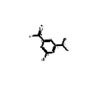 CC(C)c1cc(F)cc(C(=O)I)c1